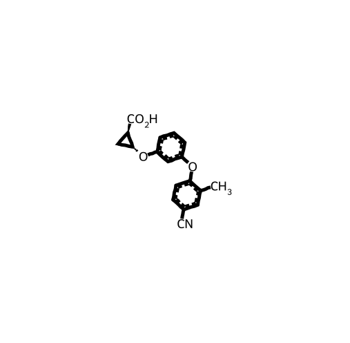 Cc1cc(C#N)ccc1Oc1cccc(O[C@@H]2C[C@H]2C(=O)O)c1